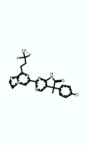 CC1(c2ccc(Cl)cc2)C(=O)Nc2nc(-c3cn4ccnc4c(CCC(F)(F)C(F)(F)F)n3)ncc21